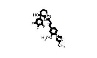 COc1cc(/C=C/c2nc3n(n2)CCCC3(O)c2cc(F)c(F)c(F)c2)ccc1-n1cnc(C)c1